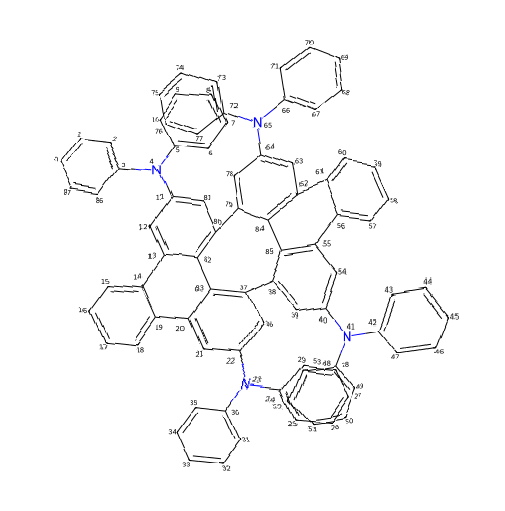 c1ccc(N(c2ccccc2)c2cc3c4ccccc4c4cc(N(c5ccccc5)c5ccccc5)cc5c6cc(N(c7ccccc7)c7ccccc7)cc7c8ccccc8c8cc(N(c9ccccc9)c9ccccc9)cc(c(c2)c3c45)c8c76)cc1